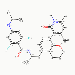 CCC(Nc1cc(F)c(C(=O)NC(Cc2ccc(-c3c(OC)cc(C)n(C)c3=O)c3c2CCCO3)C(=O)O)c(F)c1)C(F)(F)F